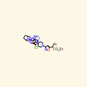 CCOC(=O)C(c1cc(N2CCC(c3cnc(N4C5CCC4CN(c4cc(Cl)nnc4N)C5)nc3)CC2)no1)C(C)C